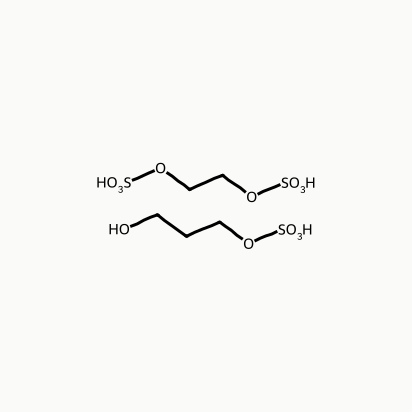 O=S(=O)(O)OCCCO.O=S(=O)(O)OCCOS(=O)(=O)O